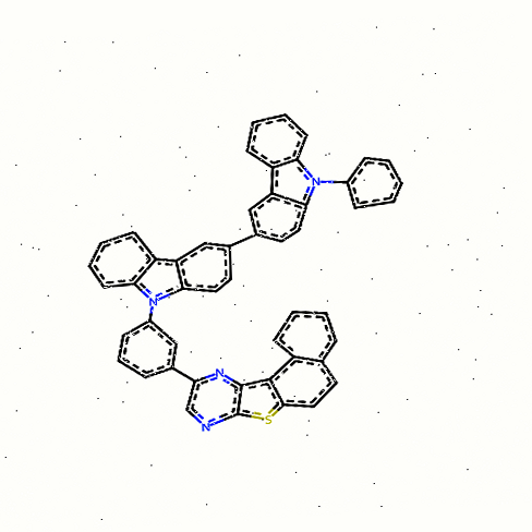 c1ccc(-n2c3ccccc3c3cc(-c4ccc5c(c4)c4ccccc4n5-c4cccc(-c5cnc6sc7ccc8ccccc8c7c6n5)c4)ccc32)cc1